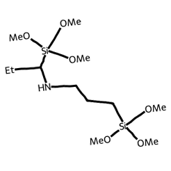 CCC(NCCC[Si](OC)(OC)OC)[Si](OC)(OC)OC